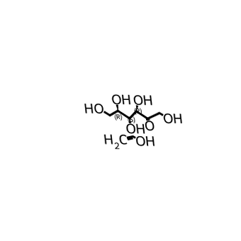 C=CO.O=C(CO)[C@H](O)[C@@H](O)[C@H](O)CO